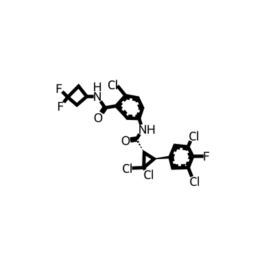 O=C(NC1CC(F)(F)C1)c1cc(NC(=O)[C@@H]2[C@@H](c3cc(Cl)c(F)c(Cl)c3)C2(Cl)Cl)ccc1Cl